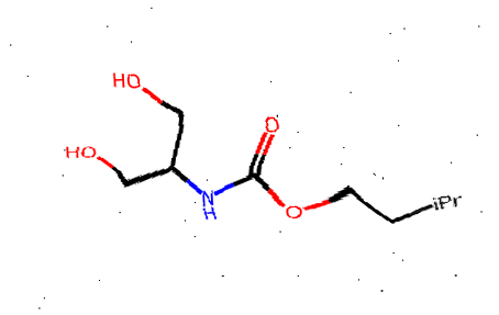 CC(C)CCOC(=O)NC(CO)CO